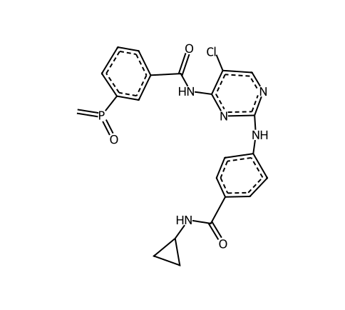 C=P(=O)c1cccc(C(=O)Nc2nc(Nc3ccc(C(=O)NC4CC4)cc3)ncc2Cl)c1